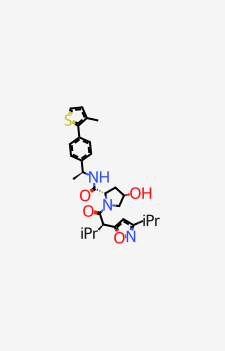 Cc1ccsc1-c1ccc([C@H](C)NC(=O)[C@@H]2C[C@@H](O)CN2C(=O)[C@@H](c2cc(C(C)C)no2)C(C)C)cc1